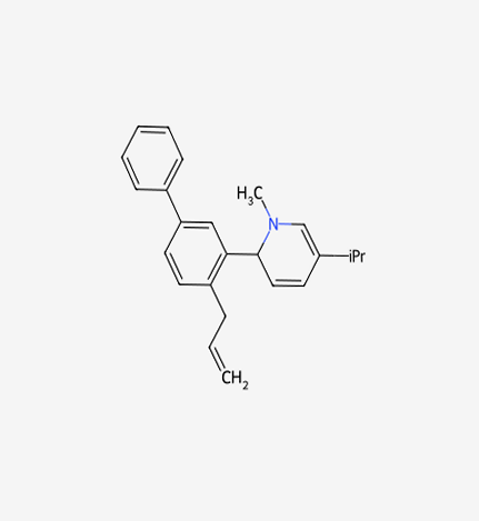 C=CCc1ccc(-c2ccccc2)cc1C1C=CC(C(C)C)=CN1C